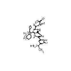 CC(C)c1cc(-c2nc3nc(-c4noc(=O)[nH]4)nc(N[C@H](C)C4CCC4)c3n2C[C@H]2CC[C@H](C)CC2)[nH]c(=O)c1